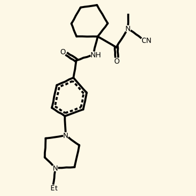 CCN1CCN(c2ccc(C(=O)NC3(C(=O)N(C)C#N)CCCCC3)cc2)CC1